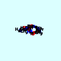 CCn1c(-c2cccnc2C(C)C)c2c3cc(ccc31)N1CCO[C@@H](C[C@H](NC(=O)[C@H](C(C)C)N(C)C(=O)[C@@]3(F)CCN(C(=O)C#CC(C)(C)N4CCC4)C3)C(=O)N3CCC[C@H](N3)C(=O)OCC(C)(C)C2)C1